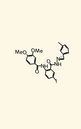 COc1ccc(C(=O)Nc2ccc(I)cc2C(=O)N/N=C/c2cccc(C)c2)cc1OC